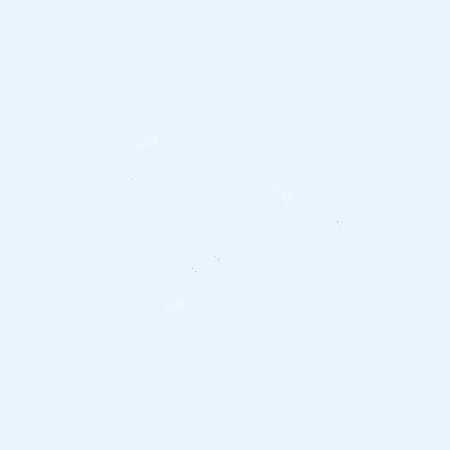 CCC1CC(=O)N(Cc2cccc(NC(=O)C(C)C)c2)N=C1c1ccc(OC)c(OC2CCCC2)c1